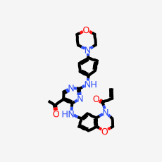 C=CC(=O)N1CCOc2ccc(Nc3nc(Nc4ccc(N5CCOCC5)cc4)ncc3C(C)=O)cc21